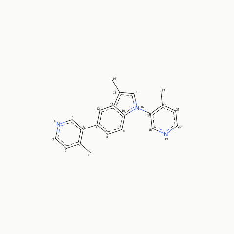 Cc1ccncc1-c1ccc2c(c1)c(C)cn2-c1cnccc1C